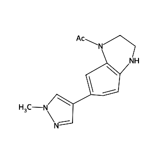 CC(=O)N1CCNc2ccc(-c3cnn(C)c3)cc21